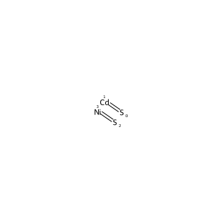 [S]=[Cd].[S]=[Ni]